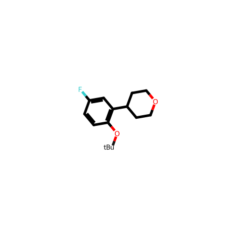 CC(C)(C)Oc1ccc(F)cc1C1CCOCC1